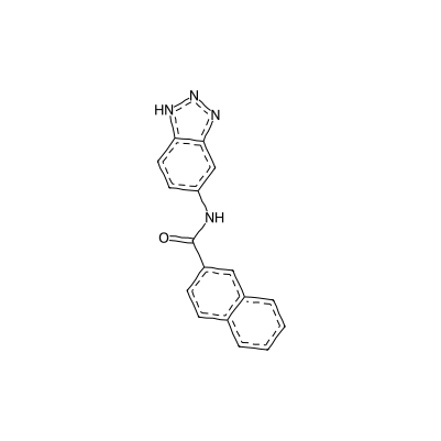 O=C(Nc1ccc2[nH]nnc2c1)c1ccc2ccccc2c1